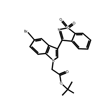 CC(C)(C)OC(=O)Cn1cc(C2=NS(=O)(=O)c3ccccc32)c2cc(Br)ccc21